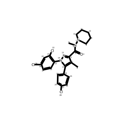 Cc1c(C(=O)N(C)N2CCCCC2)nn(-c2ccc(Cl)cc2Cl)c1-c1ccc(Cl)cc1